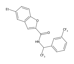 CCc1ccc2oc(C(=O)NC(c3cccc(C(F)(F)F)c3)C(F)(F)F)cc2c1